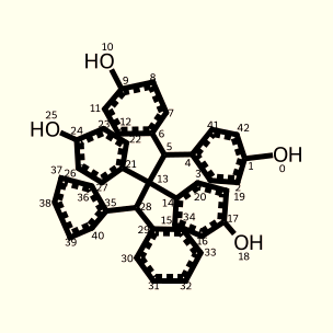 Oc1ccc(C(c2ccc(O)cc2)C(c2ccc(O)cc2)(c2ccc(O)cc2)C(c2ccccc2)c2ccccc2)cc1